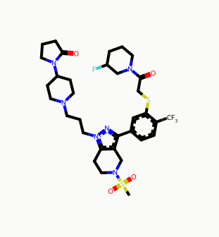 CS(=O)(=O)N1CCc2c(c(-c3ccc(C(F)(F)F)c(SCC(=O)N4CCCC(F)C4)c3)nn2CCCN2CCC(N3CCCC3=O)CC2)C1